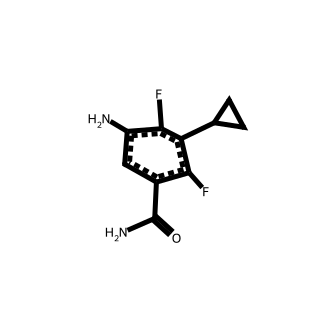 NC(=O)c1cc(N)c(F)c(C2CC2)c1F